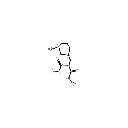 CN1CCC[C@@H](CN(C(=O)OC(C)(C)C)C(=O)OC(C)(C)C)C1